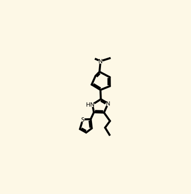 CCCc1nc(-c2ccc(N(C)C)cc2)[nH]c1-c1cccs1